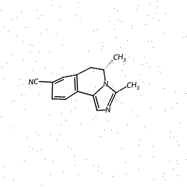 Cc1ncc2n1[C@@H](C)Cc1cc(C#N)ccc1-2